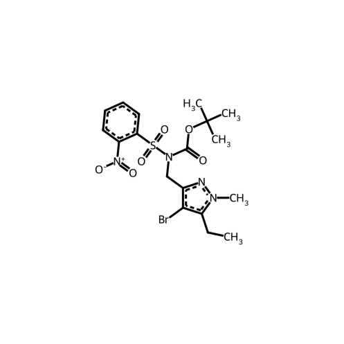 CCc1c(Br)c(CN(C(=O)OC(C)(C)C)S(=O)(=O)c2ccccc2[N+](=O)[O-])nn1C